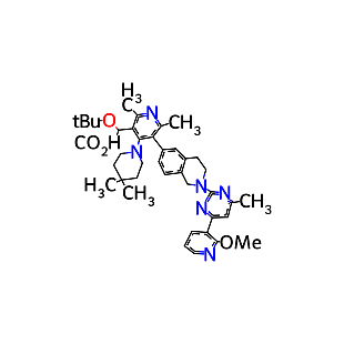 COc1ncccc1-c1cc(C)nc(N2CCc3cc(-c4c(C)nc(C)c(C(OC(C)(C)C)C(=O)O)c4N4CCC(C)(C)CC4)ccc3C2)n1